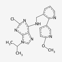 COc1ccc(-c2ncccc2CNc2nc(Cl)nc3c2ncn3C(C)C)cn1